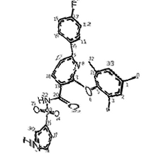 Cc1cc(C)c(Oc2nc(-c3ccc(F)cc3)ccc2C(=O)NS(=O)(=O)c2cc[nH]c2)c(C)c1